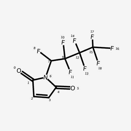 O=C1C=CC(=O)N1C(F)C(F)(F)C(F)(F)C(F)(F)F